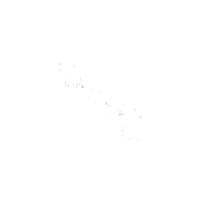 CNc1ccccc1C(=O)Nc1ccc(N2CCN(C(C(=O)OC)c3ccccc3)CC2)cc1